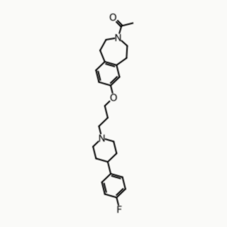 CC(=O)N1CCc2ccc(OCCCN3CCC(c4ccc(F)cc4)CC3)cc2CC1